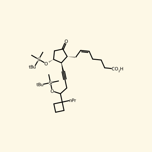 CCCC1(C(CC#C[C@H]2[C@H](O[Si](C)(C)C(C)(C)C)CC(=O)[C@@H]2C/C=C\CCCC(=O)O)O[Si](C)(C)C(C)(C)C)CCC1